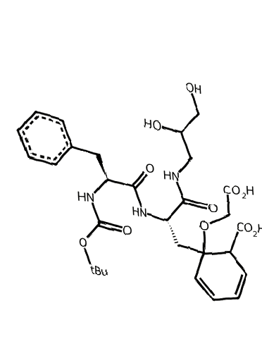 CC(C)(C)OC(=O)N[C@@H](Cc1ccccc1)C(=O)N[C@@H](CC1(OCC(=O)O)C=CC=CC1C(=O)O)C(=O)NCC(O)CO